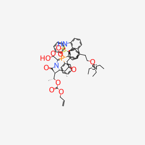 C=CCOC(=O)O[C@H](C)[C@H]1C(=O)N(C(C(=O)O)=P(c2ccccc2)(c2ccccc2)c2ccccc2)[C@@H]1[C@@H](C)C(=O)Cc1cc(CCO[Si](CC)(CC)CC)c2cccc3c2c1S(=O)(=O)N3